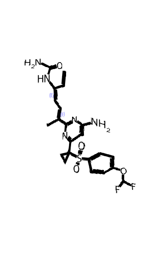 C=C/C(=C\C=C(/C)c1nc(N)cc(C2(S(=O)(=O)c3ccc(OC(F)F)cc3)CC2)n1)NC(N)=O